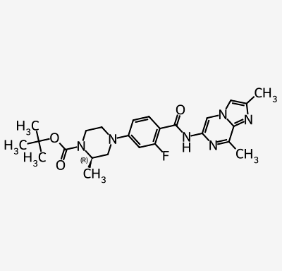 Cc1cn2cc(NC(=O)c3ccc(N4CCN(C(=O)OC(C)(C)C)[C@H](C)C4)cc3F)nc(C)c2n1